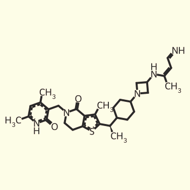 C/C(=C/C=N)NC1CN(C2CCC([C@@H](C)c3sc4c(c3C)C(=O)N(Cc3c(C)cc(C)[nH]c3=O)CC4)CC2)C1